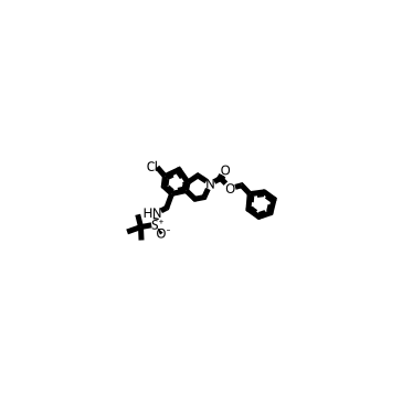 CC(C)(C)[S@+]([O-])NCc1cc(Cl)cc2c1CCN(C(=O)OCc1ccccc1)C2